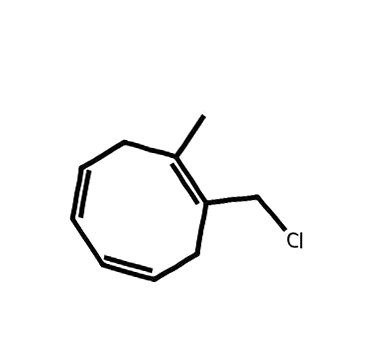 C/C1=C(\CCl)C/C=C\C=C/C1